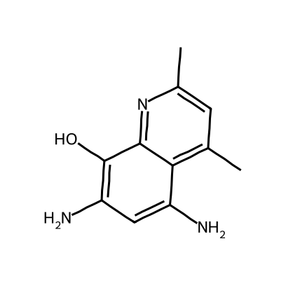 Cc1cc(C)c2c(N)cc(N)c(O)c2n1